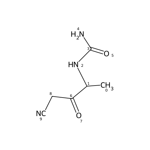 CC(NC(N)=O)C(=O)CC#N